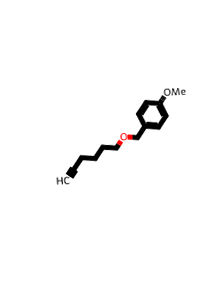 C#CCCCCOCc1ccc(OC)cc1